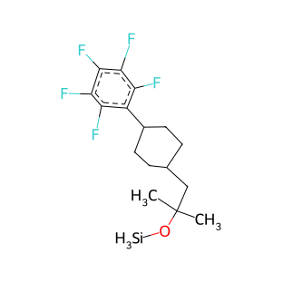 CC(C)(CC1CCC(c2c(F)c(F)c(F)c(F)c2F)CC1)O[SiH3]